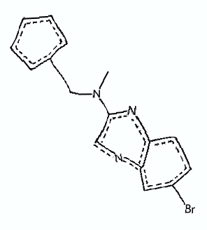 CN(Cc1ccccc1)c1cnc2cc(Br)ccc2n1